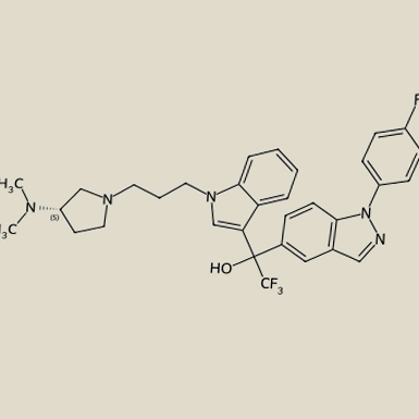 CN(C)[C@H]1CCN(CCCn2cc(C(O)(c3ccc4c(cnn4-c4ccc(F)cc4)c3)C(F)(F)F)c3ccccc32)C1